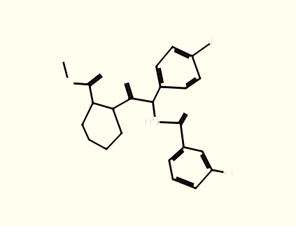 COC(=O)C1CCCCC1C(=O)C(NC(=O)c1cccc(Cl)c1)c1ccc(Br)cc1